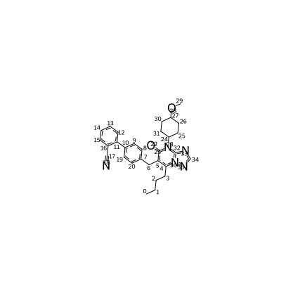 CCCCc1c(Cc2ccc(-c3ccccc3C#N)cc2)c(=O)n(C2CCC(OC)CC2)c2ncnn12